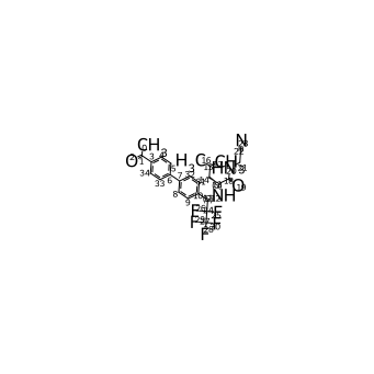 CC(=O)c1ccc(-c2ccc([C@H](N[C@@H](CC(C)C)C(=O)NCC#N)C(F)(F)C(F)(F)F)cc2)cc1